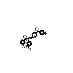 Nc1cccc(C(=O)N(CCN2CCC(C(=O)c3ccc(F)cc3)CC2)c2ccccc2)c1